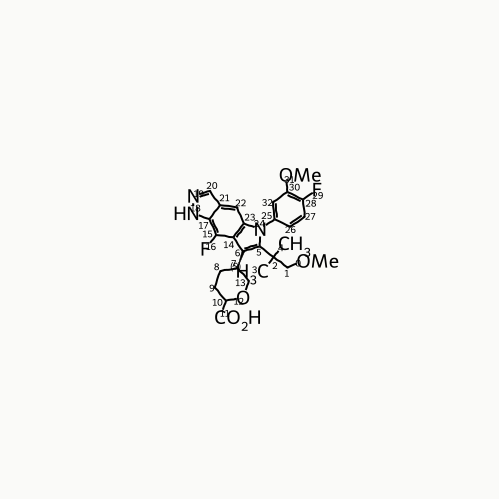 COCC(C)(C)c1c([C@@H]2CCC(C(=O)O)OC2)c2c(F)c3[nH]ncc3cc2n1-c1ccc(F)c(OC)c1